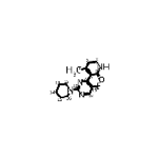 Cc1cc[nH]c(=O)c1-c1nc(N2CCCCC2)ncc1F